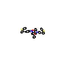 c1ccc(-c2ccc3c(c2)C2(c4ccccc4N(c4ccc(-c5cccc6sc7ccccc7c56)cc4)c4ccccc42)c2ccccc2N3c2ccc(-c3cccc4sc5ccccc5c34)cc2)cc1